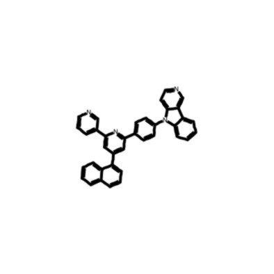 c1cncc(-c2cc(-c3cccc4ccccc34)cc(-c3ccc(-n4c5ccccc5c5cnccc54)cc3)n2)c1